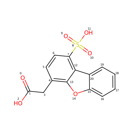 O=C(O)Cc1ccc(S(=O)(=O)O)c2c1oc1ccccc12